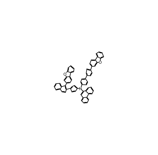 c1ccc2c(-c3ccc4c(c3)oc3ccccc34)c(-c3ccc(N(c4ccc(-c5ccc(-c6ccc7c(c6)oc6ccccc67)cc5)cc4)c4cc5ccccc5c5ccccc45)cc3)ccc2c1